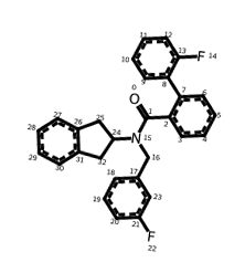 O=C(c1ccccc1-c1ccccc1F)N(Cc1cccc(F)c1)C1Cc2ccccc2C1